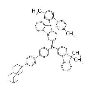 Cc1ccc2c(c1)C1(c3ccccc3-c3cc(N(c4ccc(-c5ccc(C67CCC8CCC(CC8C6)C7)cc5)cc4)c4ccc5c(c4)-c4ccccc4C5(C)C)ccc31)c1cc(C)ccc1-2